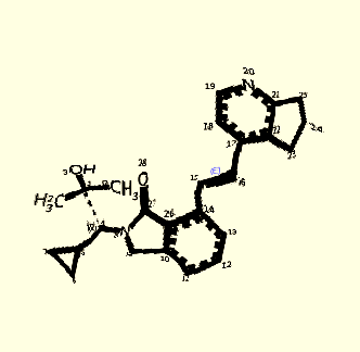 CC(C)(O)[C@@H](C1CC1)N1Cc2cccc(/C=C/c3ccnc4c3CCC4)c2C1=O